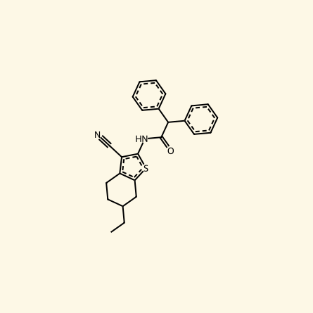 CCC1CCc2c(sc(NC(=O)C(c3ccccc3)c3ccccc3)c2C#N)C1